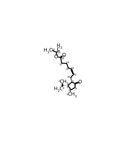 C=C(C)[C@H]1[C@H](C)CC(=O)[C@@H]1C/C=C\CCCC(=O)OC(C)C